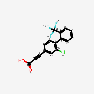 O=C(O)C#Cc1ccc(-c2ccccc2C(F)(F)F)c(Cl)c1